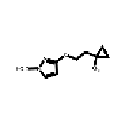 O=C(O)n1ccc(OCCC2(C(F)(F)F)CC2)n1